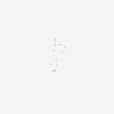 O=C(O)C(F)(C(F)(F)F)C(F)(F)N1C(F)(F)C(F)(F)C(F)(F)C(F)(F)C1(F)F.[K]